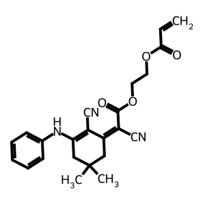 C=CC(=O)OCCOC(=O)/C(C#N)=C1/CC(C)(C)CC(Nc2ccccc2)=C1C#N